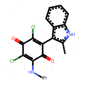 Cc1[nH]c2ccccc2c1C1=C(Cl)C(=O)C(Cl)=C(NC(C)C)C1=O